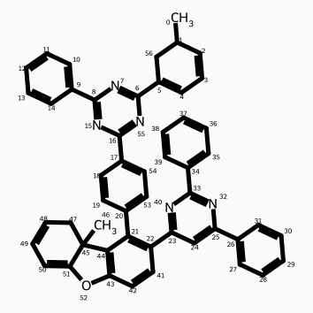 CC1C=CC=C(c2nc(-c3ccccc3)nc(-c3ccc(-c4c(-c5cc(-c6ccccc6)nc(-c6ccccc6)n5)ccc5c4C4(C)CC=CC=C4O5)cc3)n2)C1